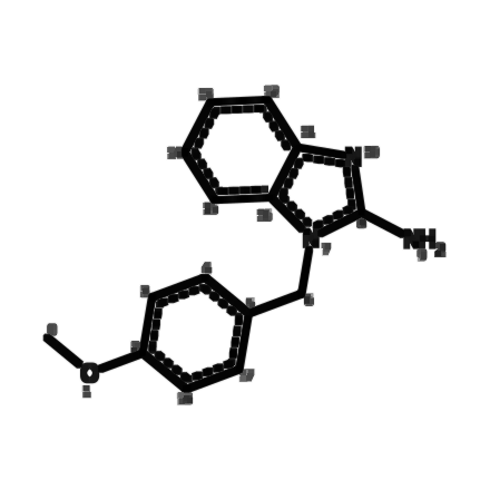 COc1ccc(Cn2c(N)nc3ccccc32)cc1